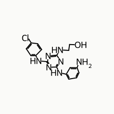 Nc1cccc(Nc2nc(NCCO)nc(Nc3ccc(Cl)cc3)n2)c1